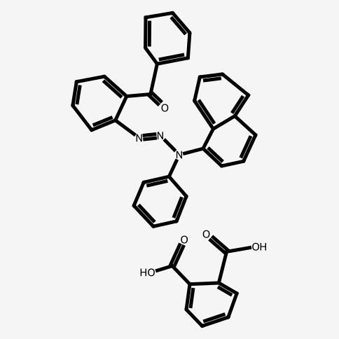 O=C(O)c1ccccc1C(=O)O.O=C(c1ccccc1)c1ccccc1N=NN(c1ccccc1)c1cccc2ccccc12